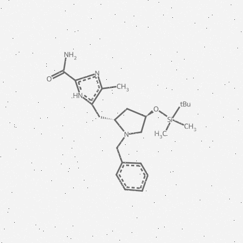 Cc1nc(C(N)=O)[nH]c1C[C@@H]1C[C@@H](O[Si](C)(C)C(C)(C)C)CN1Cc1ccccc1